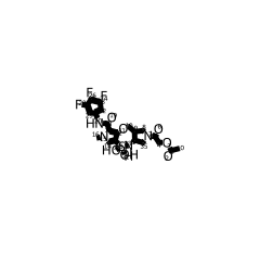 CC(=O)OCC(=O)N1CC2COc3c(cn(C)c3C(=O)Nc3cc(F)c(F)c(F)c3)S(O)(O)NC2C1